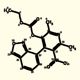 CCOC(=O)Oc1c(C)nc(C)c([N+](=O)[O-])c1-c1cccc2nonc12